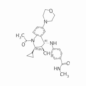 CNC(=O)c1ccc(N[C@H]2c3cc(N4CCOCC4)ccc3N(C(C)=O)[C@H](C3CC3)[C@@H]2C)cc1